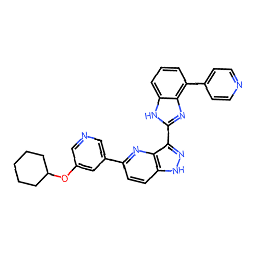 c1cc(-c2ccncc2)c2nc(-c3n[nH]c4ccc(-c5cncc(OC6CCCCC6)c5)nc34)[nH]c2c1